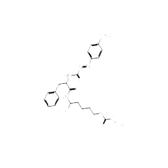 COc1ccc(/N=N/C(=O)NC(Cc2ccccc2)C(=O)NC(CCCCNC(=O)OC(C)(C)C)C(=O)O)cc1